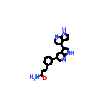 NC(=O)C=Cc1cccc(-c2cnc3[nH]cc(-c4ccnc5[nH]ccc45)c3c2)c1